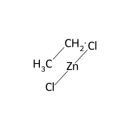 [CH2]C.[Cl][Zn][Cl]